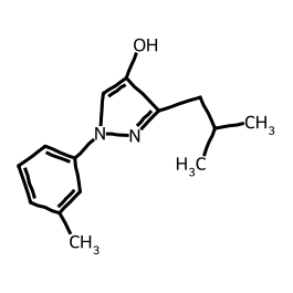 Cc1cccc(-n2cc(O)c(CC(C)C)n2)c1